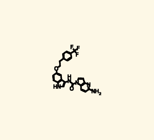 Nc1ccc2c(ccn2C(=O)Nc2c[nH]c3ccc(OCCc4ccc(C(F)(F)F)cc4)cc23)n1